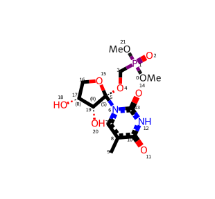 COP(=O)(CO[C@@]1(n2cc(C)c(=O)[nH]c2=O)OC[C@@H](O)[C@H]1O)OC